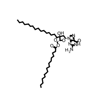 CCCCCCCCCCCCCCCC(=O)OC[C@H]1O[C@@H](n2cnc3c(=O)[nH]c(N)nc32)C[C@@]1(O)C(=O)CCCCCCCCCCCCCCC